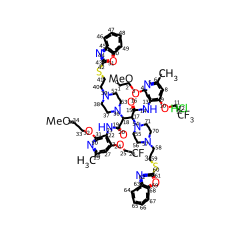 COCCOc1nc(C)cc(OCC(F)(F)F)c1NC(=O)C(C(C(=O)Nc1c(OCC(F)(F)F)cc(C)nc1OCCOC)N1CCN(CCSc2nc3ccccc3o2)CC1)N1CCN(CCSc2nc3ccccc3o2)CC1.Cl